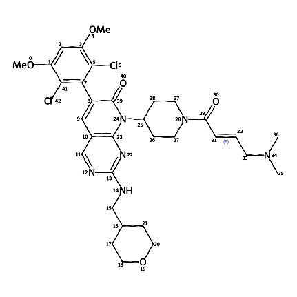 COc1cc(OC)c(Cl)c(-c2cc3cnc(NCC4CCOCC4)nc3n(C3CCN(C(=O)/C=C/CN(C)C)CC3)c2=O)c1Cl